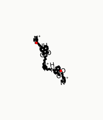 Cn1cc[n+](CCCN2C(=O)c3cccc4c(NCCCn5cc[n+](CCCCCCN6C(=O)c7cccc8c(NCCCn9cc[n+](C)c9)ccc(c78)C6=O)c5)ccc(c34)C2=O)c1